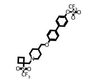 O=S(=O)(Oc1ccc(-c2ccc(OCC3CCN(CC4(S(=O)(=O)C(F)(F)F)CCC4)CC3)cc2)cc1)C(F)(F)F